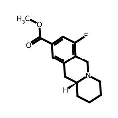 COC(=O)c1cc(F)c2c(c1)C[C@H]1CCCCN1C2